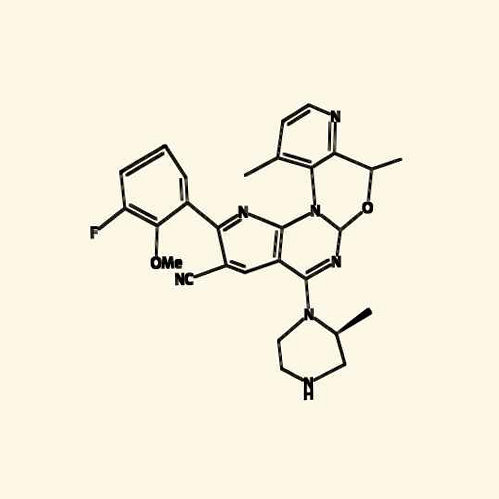 COc1c(F)cccc1-c1nc2c(cc1C#N)C(N1CCNC[C@@H]1C)=NC1OC(C)c3nccc(C)c3N21